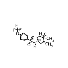 C[C@H]1C[C@H](NS(=O)(=O)c2ccc(OC(F)(F)F)cc2)CCC1(C)C